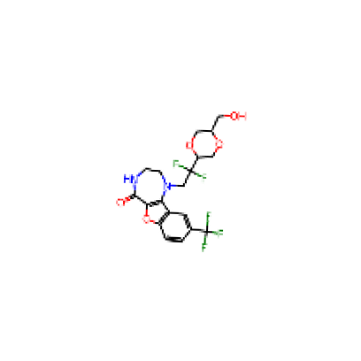 O=C1NCCN(CC(F)(F)C2COC(CO)CO2)c2c1oc1ccc(C(F)(F)F)cc21